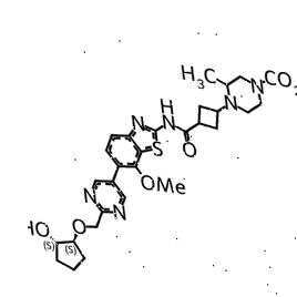 COc1c(-c2cnc(CO[C@H]3CCC[C@@H]3O)nc2)ccc2nc(NC(=O)C3CC(N4CCN(C(=O)O)CC4C)C3)sc12